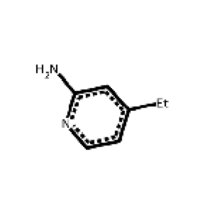 [CH2]Cc1ccnc(N)c1